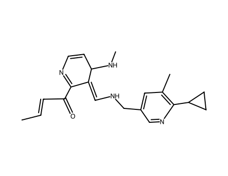 CC=CC(=O)C1=NC=CC(NC)/C1=C\NCc1cnc(C2CC2)c(C)c1